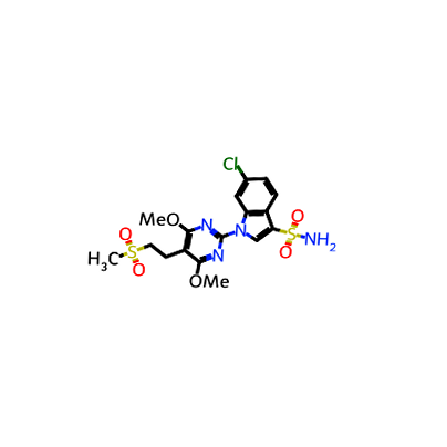 COc1nc(-n2cc(S(N)(=O)=O)c3ccc(Cl)cc32)nc(OC)c1CCS(C)(=O)=O